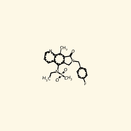 CCN(c1c2c(c(C)c3ncccc13)C(=O)N(Cc1ccc(F)cc1)C2)S(C)(=O)=O